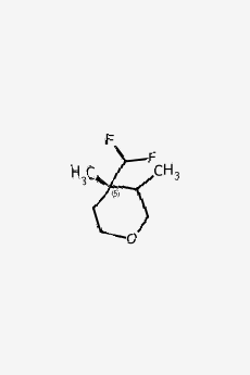 CC1COCC[C@]1(C)C(F)F